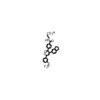 O=C(O)CCNC(=O)c1ccc(C(=O)/C(=C\C(=O)c2cccc(SC(F)(F)F)c2)c2ccc3c(c2)CCC3)cc1